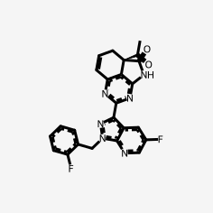 CC(=O)[C@]12CC=Cc3nc(-c4nn(Cc5ccccc5F)c5ncc(F)cc45)nc(c31)NC2=O